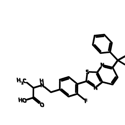 CC(NCc1ccc(-c2nc3ccc(C4(c5ccccc5)CC4)nc3s2)c(F)c1)C(=O)O